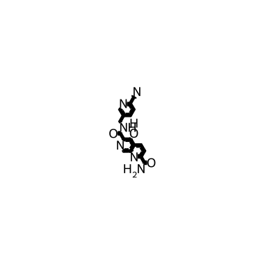 N#Cc1ccc(CNC(=O)c2ncc3nc(C(N)=O)ccc3c2O)cn1